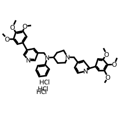 COc1cc(-c2cncc(CN(c3ccccc3)C3CCN(Cc4ccnc(-c5cc(OC)c(OC)c(OC)c5)c4)CC3)c2)cc(OC)c1OC.Cl.Cl.Cl